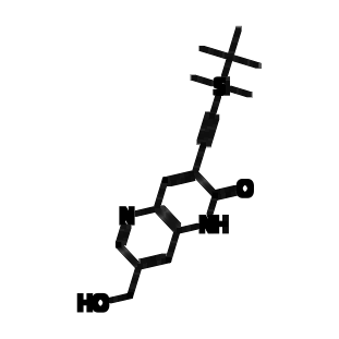 CC(C)(C)[Si](C)(C)C#Cc1cc2ncc(CO)cc2[nH]c1=O